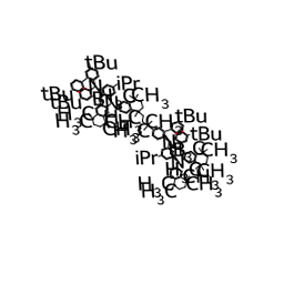 CC(C)c1cc2c3c(c1)N(c1ccc(C(C)(C)C)cc1-c1ccc(C(C)(C)C)cc1)c1ccc(C(C)(C)C)cc1B3c1cc3c(cc1N2c1ccc2c(c1)C(C)(C)CCC2(C)CCC(C)(C)c1ccc(N2c4ccc(C(C)(C)C)cc4B4c5cc6c(cc5N(c5ccc7c(c5)C(C)(C)CCC7(C)C)c5cc(C(C)C)cc2c54)C(C)(C)CCC6(C)C)c(-c2cccc(C(C)(C)C)c2)c1)C(C)(C)CCC3(C)C